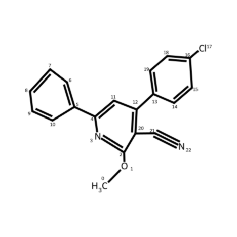 COc1nc(-c2ccccc2)cc(-c2ccc(Cl)cc2)c1C#N